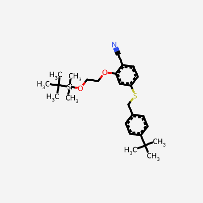 CC(C)(C)c1ccc(CSc2ccc(C#N)c(OCCO[Si](C)(C)C(C)(C)C)c2)cc1